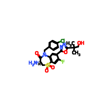 CC(C)(CO)c1nnc(-c2cc3c(cc2F)S(=O)(=O)C[C@H](N)C(=O)N3Cc2ccc(Cl)cc2)o1